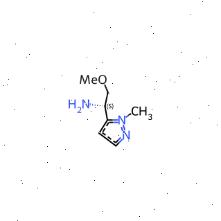 COC[C@@H](N)c1ccnn1C